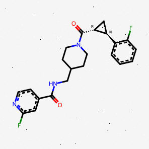 O=C(NCC1CCN(C(=O)[C@@H]2C[C@H]2c2ccccc2F)CC1)c1ccnc(F)c1